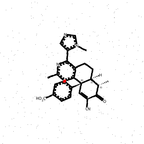 Cc1nc(-c2cncn2C)c2c(n1)[C@@]1(c3ccc(C(=O)O)cc3)C=C(C#N)C(=O)[C@@H](C)[C@@H]1CC2